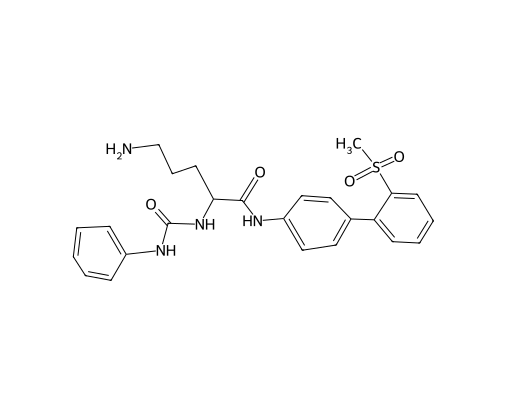 CS(=O)(=O)c1ccccc1-c1ccc(NC(=O)C(CCCN)NC(=O)Nc2ccccc2)cc1